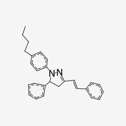 CCCCc1ccc(N2N=C(C=Cc3ccccc3)CC2c2ccccc2)cc1